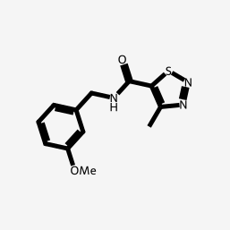 COc1cccc(CNC(=O)c2snnc2C)c1